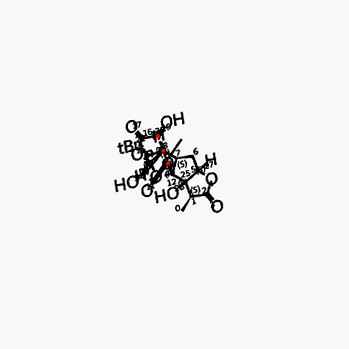 C[C@@H]1C(=O)O[C@H]2C[C@]34[C@@H]5OC(=O)[C@]3(O[C@@H]3OC(=O)[C@H](O)[C@@]34[C@H](C(C)(C)C)[C@H]5O)[C@]21O